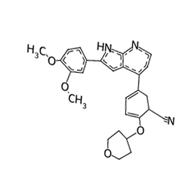 COc1ccc(-c2cc3c(C4=CC=C(OC5CCOCC5)C(C#N)C4)ccnc3[nH]2)cc1OC